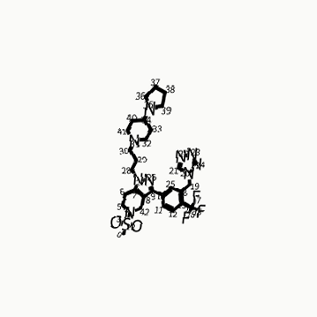 CS(=O)(=O)N1CCc2c(c(-c3ccc(C(F)(F)F)c(Cn4cnnn4)c3)nn2CCCN2CCC(N3CCCC3)CC2)C1